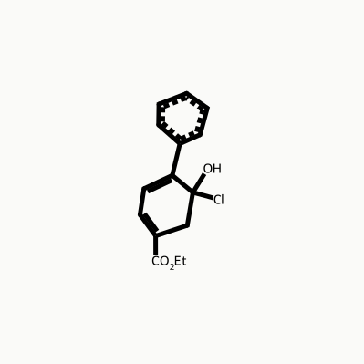 CCOC(=O)C1=CC=C(c2ccccc2)C(O)(Cl)C1